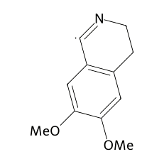 COc1cc2c(cc1OC)CCN=[C]2